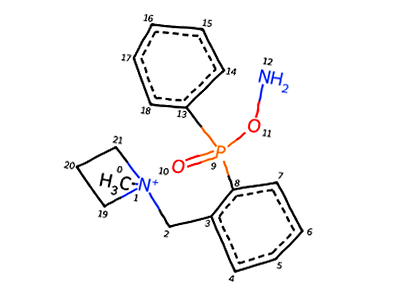 C[N+]1(Cc2ccccc2P(=O)(ON)c2ccccc2)CCC1